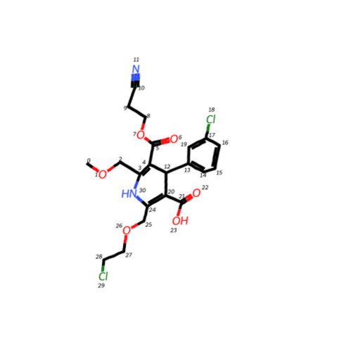 COCC1=C(C(=O)OCCC#N)C(c2cccc(Cl)c2)C(C(=O)O)=C(COCCCl)N1